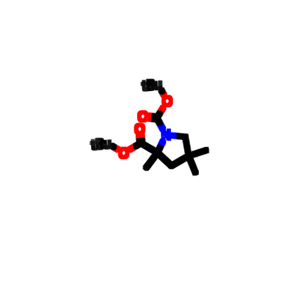 CC1(C)CN(C(=O)OC(C)(C)C)C(C)(C(=O)OC(C)(C)C)C1